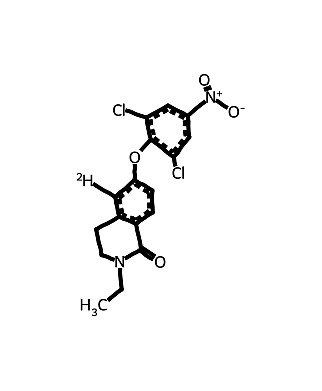 [2H]c1c(Oc2c(Cl)cc([N+](=O)[O-])cc2Cl)ccc2c1CCN(CC)C2=O